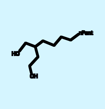 CCCCCCCCCC(CO)CCO